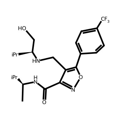 CC(C)[C@H](C)NC(=O)c1noc(-c2ccc(C(F)(F)F)cc2)c1CN[C@H](CO)C(C)C